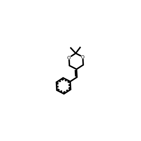 CC1(C)OCC(=Cc2ccccc2)CO1